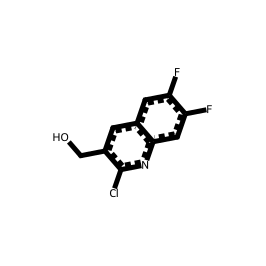 OCc1cc2cc(F)c(F)cc2nc1Cl